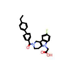 CCc1ccc(-c2ccc(C(=O)N3CCc4c(c5cc(F)ccc5n4CC(=O)O)C3)cc2)cc1